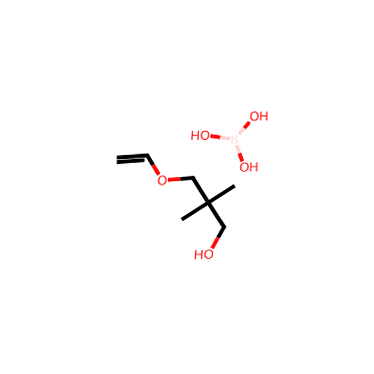 C=COCC(C)(C)CO.OB(O)O